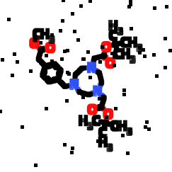 COC(=O)Cc1ccc(CN2CCN(CC(=O)OC(C)(C)C)CCN(CC(=O)OC(C)(C)C)CC2)cc1